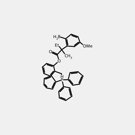 Bc1ccc(OC)cc1C(C)(CC)C(=O)Oc1ccccc1C[PH](c1ccccc1)(c1ccccc1)c1ccccc1